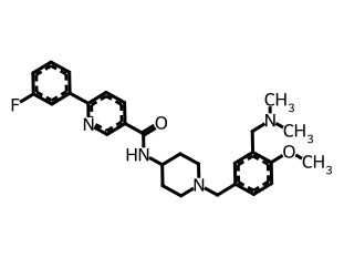 COc1ccc(CN2CCC(NC(=O)c3ccc(-c4cccc(F)c4)nc3)CC2)cc1CN(C)C